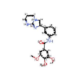 COc1cc(C(=O)Nc2cccc(C3CN4C=CC=NC4=N3)c2)cc(OC)c1OC